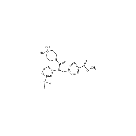 COC(=O)c1ccc(CN(C(=O)N2CCS(O)(O)CC2)c2cccc(C(F)(F)F)c2)cc1